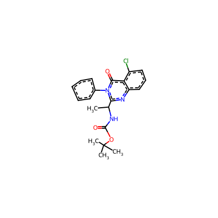 CC(NC(=O)OC(C)(C)C)c1nc2cccc(Cl)c2c(=O)n1-c1ccccc1